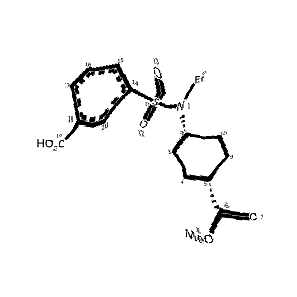 CCN([C@H]1CC[C@@H](C(=O)OC)CC1)S(=O)(=O)c1cccc(C(=O)O)c1